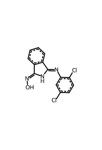 ON=C1NC(=Nc2cc(Cl)ccc2Cl)c2ccccc21